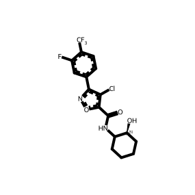 O=C(NC1CCCC[C@@H]1O)c1onc(-c2ccc(C(F)(F)F)c(F)c2)c1Cl